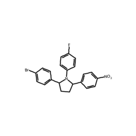 O=[N+]([O-])c1ccc(C2CCC(c3ccc(Br)cc3)N2c2ccc(F)cc2)cc1